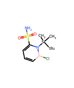 CC(C)(C)[Si](C)(C)N1B(Cl)C=CC=C1S(N)(=O)=O